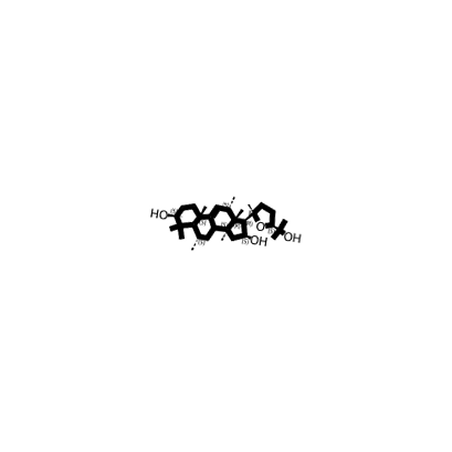 C[C@H]1CC2C(=C[C@H](C)[C@]3(C)[C@@H]([C@@]4(C)CC[C@@H](C(C)(C)O)O4)[C@@H](O)C[C@@]23C)[C@@]2(C)CC[C@H](O)C(C)(C)C12